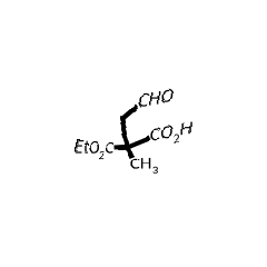 CCOC(=O)C(C)(CC=O)C(=O)O